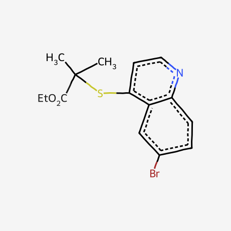 CCOC(=O)C(C)(C)Sc1ccnc2ccc(Br)cc12